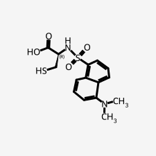 CN(C)c1cccc2c(S(=O)(=O)N[C@@H](CS)C(=O)O)cccc12